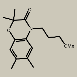 COCCCN1C(=O)C(C)(C)Oc2cc(C)c(C)cc21